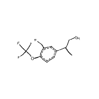 C[C](CO)c1ccc(OC(F)(F)F)c(F)c1